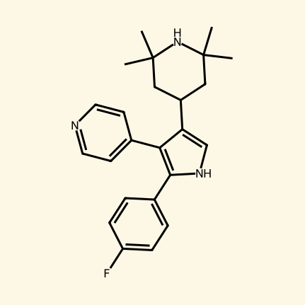 CC1(C)CC(c2c[nH]c(-c3ccc(F)cc3)c2-c2ccncc2)CC(C)(C)N1